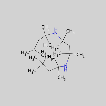 CC(C)CC(C)(C)NC(C)(C)CC(C)(C)NC(C)(C)CC(C)(C)C